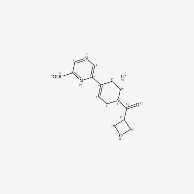 O=C([O-])c1cncc(C2=CCN(C(=O)C3COC3)CC2)n1.[Li+]